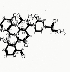 C=CC(=O)N1CCN(c2nc(=O)n3c4c2cc(Cl)c(-c2c(Cl)cccc2C=O)[n+]4C(C)C2=C3C(C)CC=N2)[C@@H](C)C1